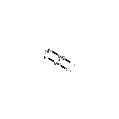 CC[CH2][Mg][I].C[CH2][Mg][Cl]